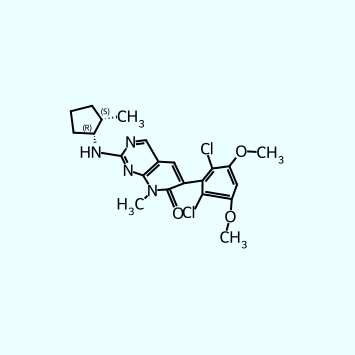 COc1cc(OC)c(Cl)c(-c2cc3cnc(N[C@@H]4CCC[C@@H]4C)nc3n(C)c2=O)c1Cl